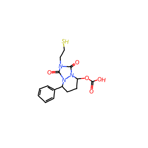 O=C(O)OC1CCC(c2ccccc2)n2c(=O)n(CCS)c(=O)n21